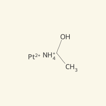 CCO.[NH4+].[Pt+2]